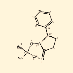 CC(C)(C)[Si](C)(C)ON1C(=O)CCC1c1ccccc1